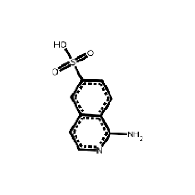 Nc1nccc2cc(S(=O)(=O)O)ccc12